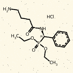 CCOP(=O)(OCC)[C@@H](NC(=O)CCCN)c1ccccc1.Cl